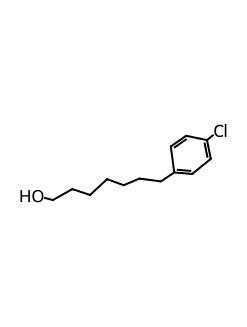 OCCCCCCCc1ccc(Cl)cc1